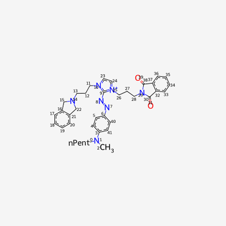 CCCCCN(C)c1ccc(/N=N/c2n(CCCN3Cc4ccccc4C3)cc[n+]2CCCN2C(=O)c3ccccc3C2=O)cc1